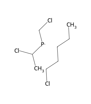 CC(Cl)[P]CCl.CCCCCCl